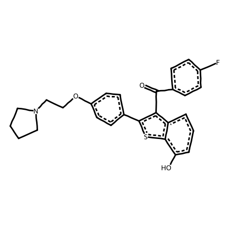 O=C(c1ccc(F)cc1)c1c(-c2ccc(OCCN3CCCC3)cc2)sc2c(O)cccc12